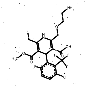 COC(=O)C1=C(CF)NC(COCCN)=C(C(=O)O)C1c1c(F)ccc(Cl)c1C(F)(F)F